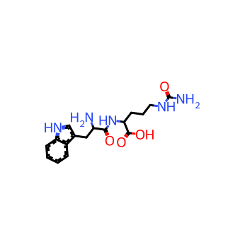 NC(=O)NCCCC(NC(=O)C(N)Cc1c[nH]c2ccccc12)C(=O)O